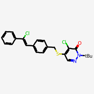 CC(C)(C)n1ncc(SCc2ccc(C=C(Cl)c3ccccc3)cc2)c(Cl)c1=O